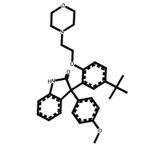 COc1ccc(C2(c3cc(C(C)(C)C)ccc3OCCN3CCOCC3)C(=O)Nc3ccccc32)cc1